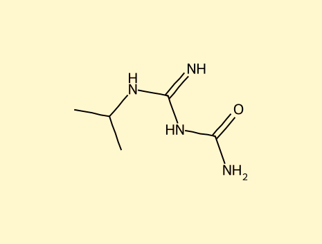 CC(C)NC(=N)NC(N)=O